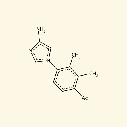 CC(=O)c1ccc(-n2cnc(N)c2)c(C)c1C